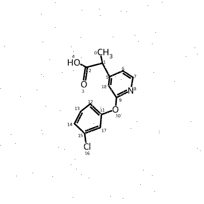 CC(C(=O)O)c1ccnc(Oc2cccc(Cl)c2)c1